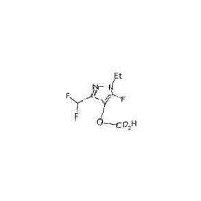 CCn1nc(C(F)F)c(OC(=O)O)c1F